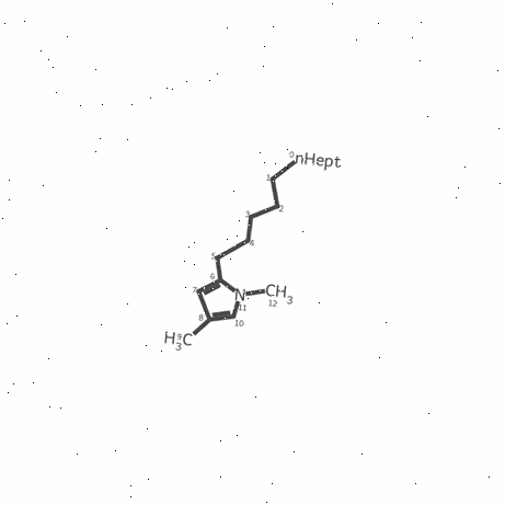 CCCCCCCCCCCCc1cc(C)cn1C